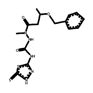 CC(CC(=O)N(C)NC(=O)Nc1n[nH]c(=S)s1)OCc1ccccc1